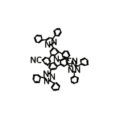 N#Cc1cccc(-c2cc(-c3nc(-c4ccccc4)cc(-c4ccccc4)n3)cc(-c3cccc(C#N)c3)c2-n2c3ccc(-c4nc(-c5ccccc5)nc(-c5ccccc5)n4)cc3c3cc(-c4nc(-c5ccccc5)nc(-c5ccccc5)n4)ccc32)c1